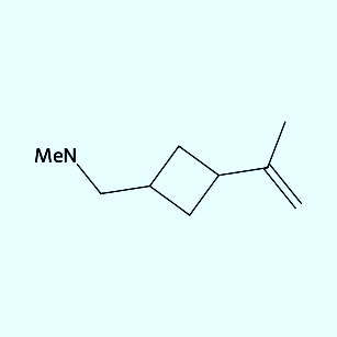 C=C(C)C1CC(CNC)C1